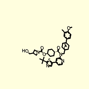 COc1ccc(C23CCC(CN(c4cc(-c5cnc(C(C)(C)C)s5)ccn4)C(=O)[C@H]4CC[C@H](OC(=O)N5CC(CO)C5)CC4)(CC2)CC3)cc1C